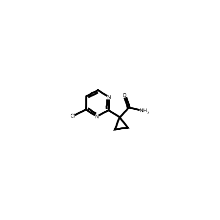 NC(=O)C1(c2nccc(Cl)n2)CC1